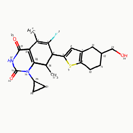 CC1=C(F)C(c2cc3c(s2)CCC(CO)C3)C(C)c2c1c(=O)[nH]c(=O)n2C1CC1